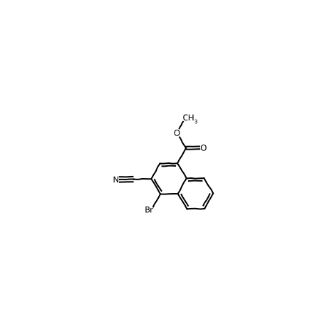 COC(=O)c1cc(C#N)c(Br)c2ccccc12